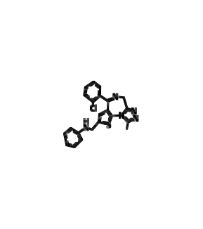 Cc1nnc2n1-c1sc(CNc3ccccc3)cc1C(c1ccccc1Cl)=NC2